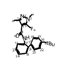 Cc1nn(C)c(F)c1C(=O)Nc1ccccc1-c1ccc(C(C)(C)C)cc1